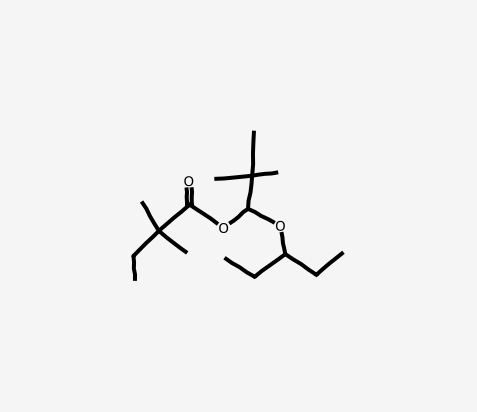 CCC(CC)OC(OC(=O)C(C)(C)CC)C(C)(C)C